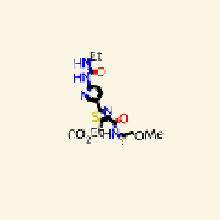 CCNC(=O)Nc1ccc(-c2nc(C(=O)N[C@@H](C)COC)c(C(=O)OCC)s2)cn1